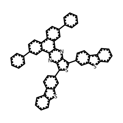 c1ccc(-c2ccc3c4ccc(-c5ccccc5)cc4c4nc5c(-c6ccc7c(c6)sc6ccccc67)sc(-c6ccc7c(c6)sc6ccccc67)c5nc4c3c2)cc1